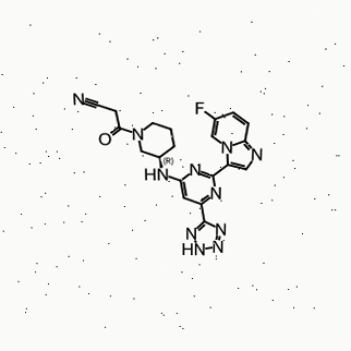 N#CCC(=O)N1CCC[C@@H](Nc2cc(-c3nn[nH]n3)nc(-c3cnc4ccc(F)cn34)n2)C1